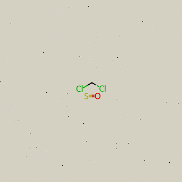 ClCCl.O=S